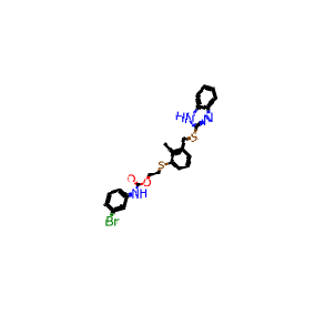 Cc1c(CSc2nc3ccccc3[nH]2)cccc1SCCOC(=O)Nc1cccc(Br)c1